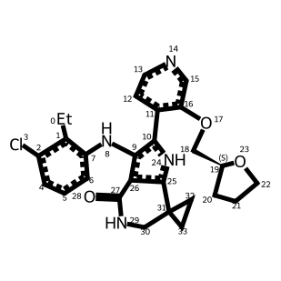 CCc1c(Cl)cccc1Nc1c(-c2ccncc2OC[C@@H]2CCCO2)[nH]c2c1C(=O)NCC21CC1